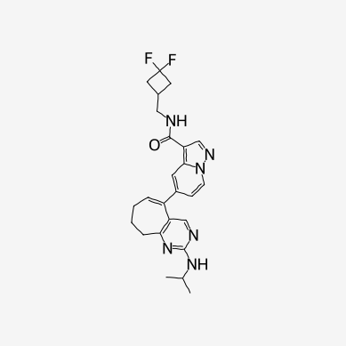 CC(C)Nc1ncc2c(n1)CCCC=C2c1ccn2ncc(C(=O)NCC3CC(F)(F)C3)c2c1